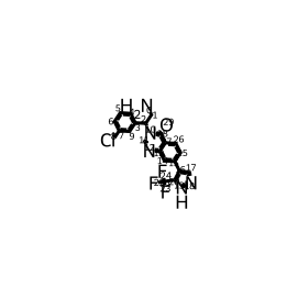 NCC(c1cccc(Cl)c1)n1cnc2cc(-c3cn[nH]c3C(F)(F)F)ccc2c1=O